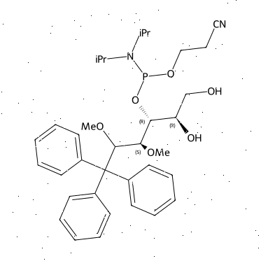 COC([C@H](OC)[C@H](OP(OCCC#N)N(C(C)C)C(C)C)[C@H](O)CO)C(c1ccccc1)(c1ccccc1)c1ccccc1